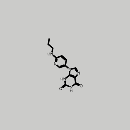 CCCNc1ccc(-n2cnc3c(=O)[nH]c(=O)[nH]c32)cn1